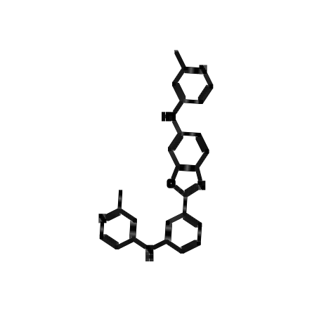 Cc1cc(Nc2cccc(-c3nc4ccc(Nc5ccnc(C)c5)cc4o3)c2)ccn1